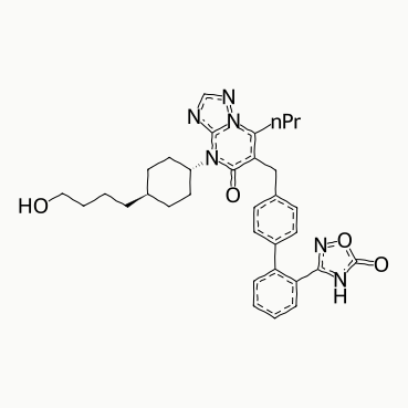 CCCc1c(Cc2ccc(-c3ccccc3-c3noc(=O)[nH]3)cc2)c(=O)n([C@H]2CC[C@H](CCCCO)CC2)c2ncnn12